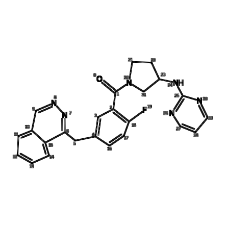 O=C(c1cc(Cc2nncc3ccccc23)ccc1F)N1CCC(Nc2ncccn2)C1